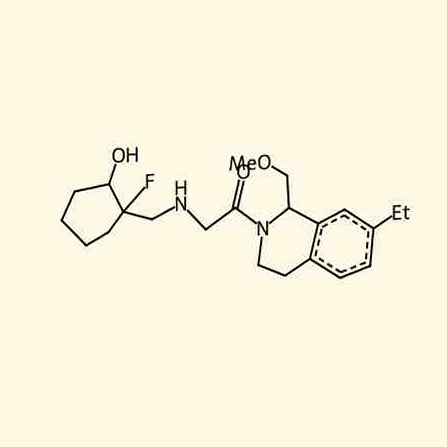 CCc1ccc2c(c1)C(COC)N(C(=O)CNCC1(F)CCCCC1O)CC2